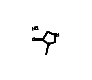 CN1CNCC1=O.Cl